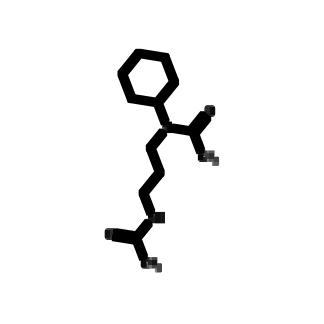 CC(=O)NCCCN(C(C)=O)C1CCCCC1